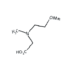 COCCN(C)CC(=O)O